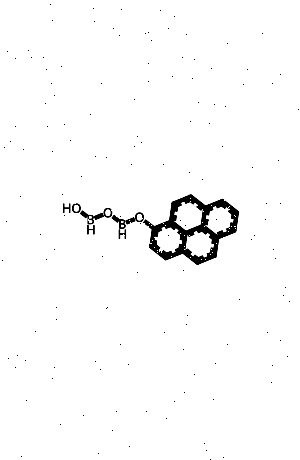 OBOBOc1ccc2ccc3cccc4ccc1c2c34